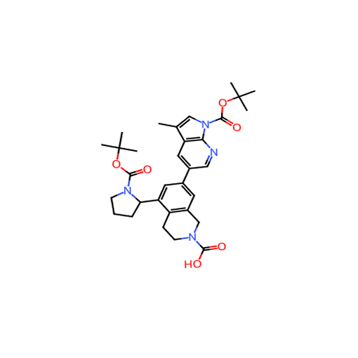 Cc1cn(C(=O)OC(C)(C)C)c2ncc(-c3cc4c(c(C5CCCN5C(=O)OC(C)(C)C)c3)CCN(C(=O)O)C4)cc12